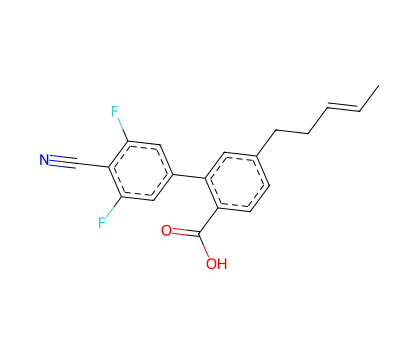 CC=CCCc1ccc(C(=O)O)c(-c2cc(F)c(C#N)c(F)c2)c1